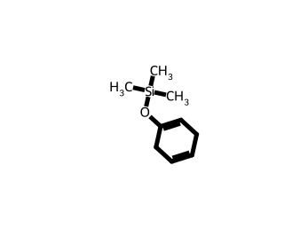 C[Si](C)(C)OC1=CCC=CC1